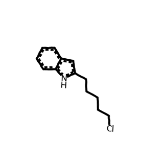 ClCCCCCc1cc2ccccc2[nH]1